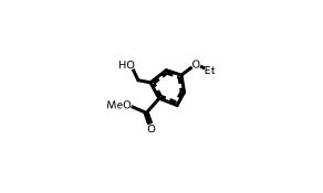 CCOc1ccc(C(=O)OC)c(CO)c1